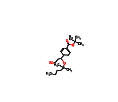 CCCC[Si](C)(C)OC(CCO)c1ccc(C(=O)OC(C)(C)C)cc1